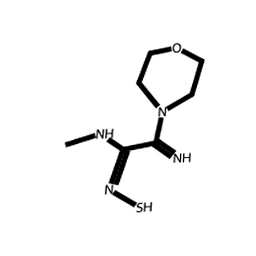 CN/C(=N/S)C(=N)N1CCOCC1